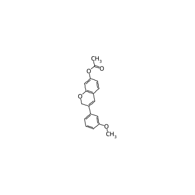 COc1cccc(C2=Cc3ccc(OC(C)=O)cc3OC2)c1